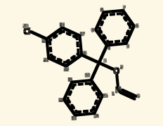 C=NOC(c1ccccc1)(c1ccccc1)c1ccc(Cl)cc1